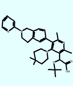 Cc1nc(C)c(C(OC(C)(C)C)C(=O)O)c(N2CCC(C)(C)CC2)c1-c1ccc2c(c1)CCN(c1ccccn1)C2